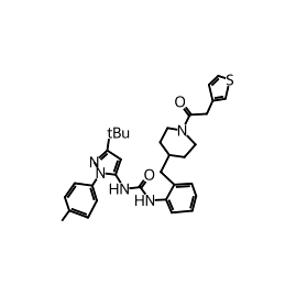 Cc1ccc(-n2nc(C(C)(C)C)cc2NC(=O)Nc2ccccc2CC2CCN(C(=O)Cc3ccsc3)CC2)cc1